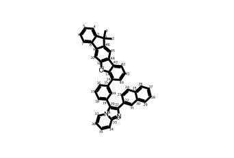 CC1(C)c2ccccc2-c2cc3oc4c(-c5cccc(-c6c(-c7ccc8ccccc8c7)nc7ccccn67)c5)cccc4c3cc21